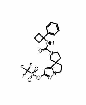 O=C(NC1(c2ccccc2)CCC1)N1CCC2(CCn3nc(OS(=O)(=O)C(F)(F)F)cc32)C1